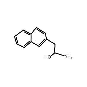 NC(O)Cc1ccc2ccccc2c1